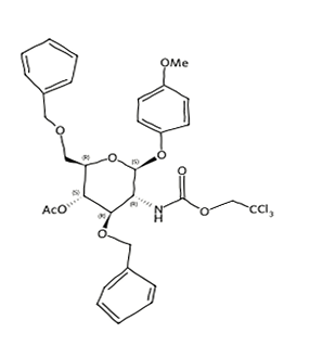 COc1ccc(O[C@@H]2O[C@H](COCc3ccccc3)[C@@H](OC(C)=O)[C@H](OCc3ccccc3)[C@H]2NC(=O)OCC(Cl)(Cl)Cl)cc1